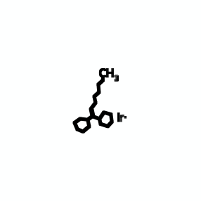 CCCCCCC=C(C1CCCCC1)C1CCCCC1.[Ir]